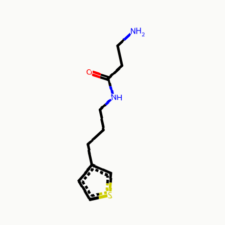 NCCC(=O)NCCCc1ccsc1